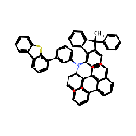 CC1(c2ccccc2)c2ccccc2-c2c(N(c3cccc(-c4cccc5c4sc4ccccc45)c3)C3CC=CC=C3c3cccc4cccc(-c5ccccc5)c34)cccc21